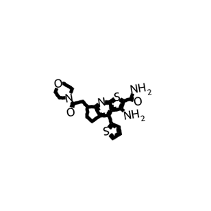 NC(=O)c1sc2nc3c(c(-c4cccs4)c2c1N)CCC3CC(=O)N1CCOCC1